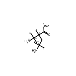 COC(=O)C(C)(CC(C)(C)N)C(C)(C)N